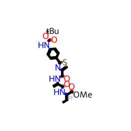 C=C(NC(=O)c1csc(-c2ccc(NC(=O)OC(C)(C)C)cc2)n1)C(=O)N/C(=C\C)C(=O)OC